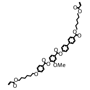 C=CC(=O)OCCCCCCOC(=O)c1ccc(-c2ccc(OC(=O)c3ccc(OC(=O)c4ccc(OCCCCCCOC(=O)C=C)cc4)c(OC)c3)cc2)cc1